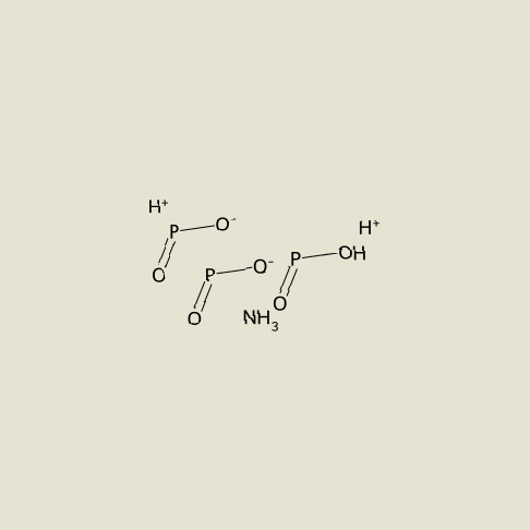 N.O=PO.O=P[O-].O=P[O-].[H+].[H+]